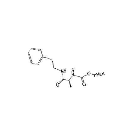 CCCCCCOC(=O)N[C@@H](C)C(=O)NCCc1ccccc1